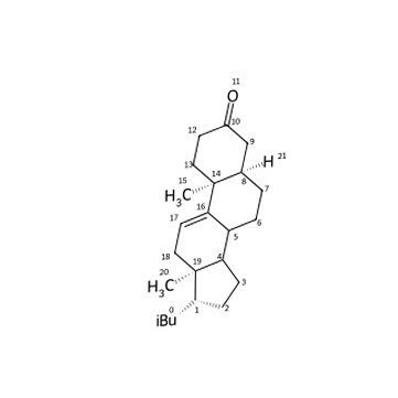 CC[C@@H](C)[C@H]1CCC2C3CC[C@@H]4CC(=O)CC[C@]4(C)C3=CC[C@@]21C